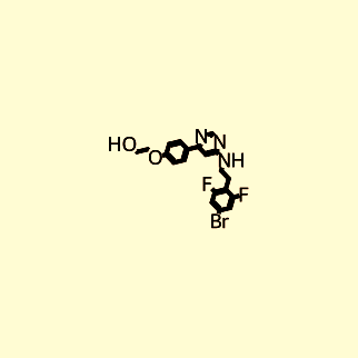 OCCOc1ccc(-c2cc(NCCc3c(F)cc(Br)cc3F)ncn2)cc1